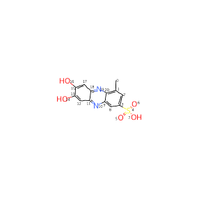 Cc1cc(S(=O)(=O)O)cc2nc3cc(O)c(O)cc3nc12